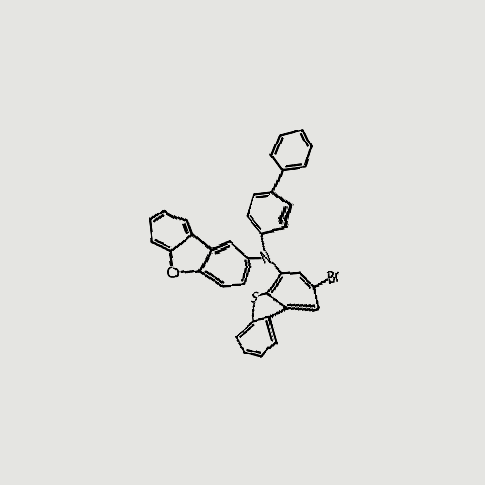 Brc1cc(N(c2ccc(-c3ccccc3)cc2)c2ccc3oc4ccccc4c3c2)c2sc3ccccc3c2c1